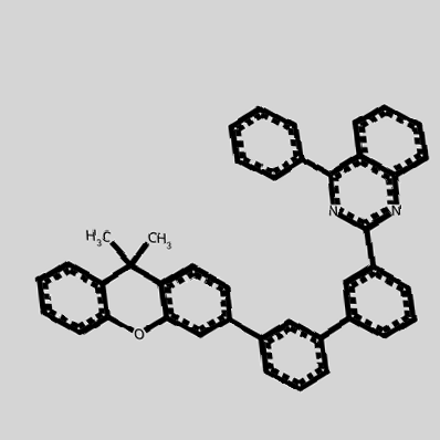 CC1(C)c2ccccc2Oc2cc(-c3cccc(-c4cccc(-c5nc(-c6ccccc6)c6ccccc6n5)c4)c3)ccc21